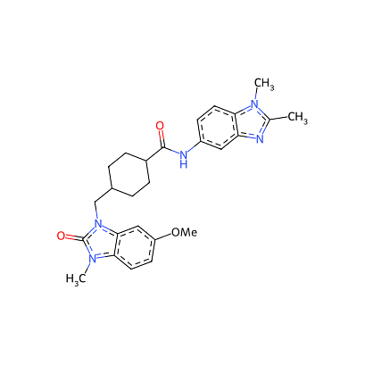 COc1ccc2c(c1)n(CC1CCC(C(=O)Nc3ccc4c(c3)nc(C)n4C)CC1)c(=O)n2C